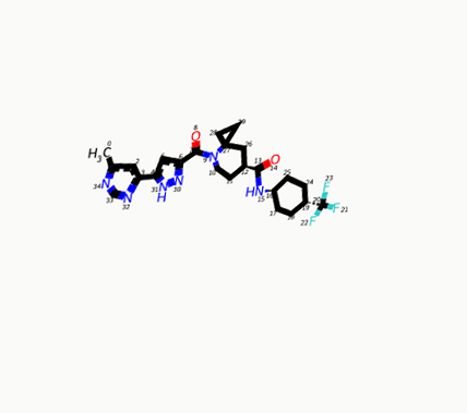 Cc1cc(-c2cc(C(=O)N3CC[C@H](C(=O)N[C@H]4CC[C@@H](C(F)(F)F)CC4)CC34CC4)n[nH]2)ncn1